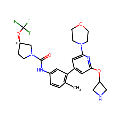 Cc1ccc(NC(=O)N2CC[C@@H](OC(F)(F)F)C2)cc1-c1cc(OC2CNC2)nc(N2CCOCC2)c1